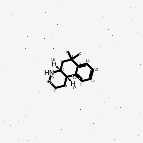 CC1(C)C[C@H]2NCCC[C@H]2c2ccccc21